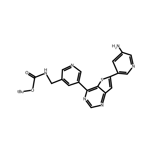 CC(C)(C)OC(=O)NCc1cncc(-c2ncnc3cc(-c4cncc(N)c4)sc23)c1